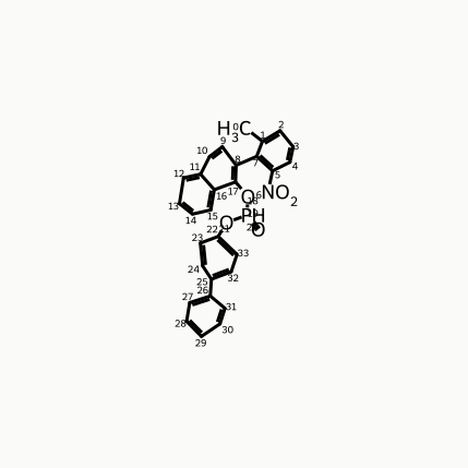 Cc1cccc([N+](=O)[O-])c1-c1ccc2ccccc2c1O[PH](=O)Oc1ccc(-c2ccccc2)cc1